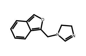 C1=NCCN1Cc1occ2ccccc12